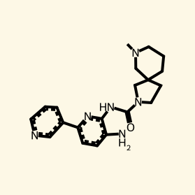 CN1CCCC2(CCN(C(=O)Nc3nc(-c4cccnc4)ccc3N)C2)C1